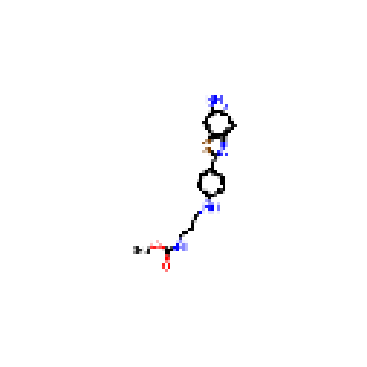 CC(C)(C)OC(=O)NCCCNc1ccc(-c2nc3ccc(N)cc3s2)cc1